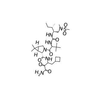 CC[C@H](C)[C@@H](CN(C)S(C)(=O)=O)NC(=O)N[C@H](C(=O)N1C[C@H]2[C@@H]([C@H]1C(=O)NC(CC1CCC1)C(=O)C(N)=O)C2(C)C)C(C)(C)C